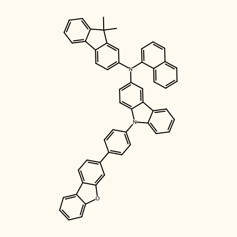 CC1(C)c2ccccc2-c2ccc(N(c3ccc4c(c3)c3ccccc3n4-c3ccc(-c4ccc5c(c4)oc4ccccc45)cc3)c3cccc4ccccc34)cc21